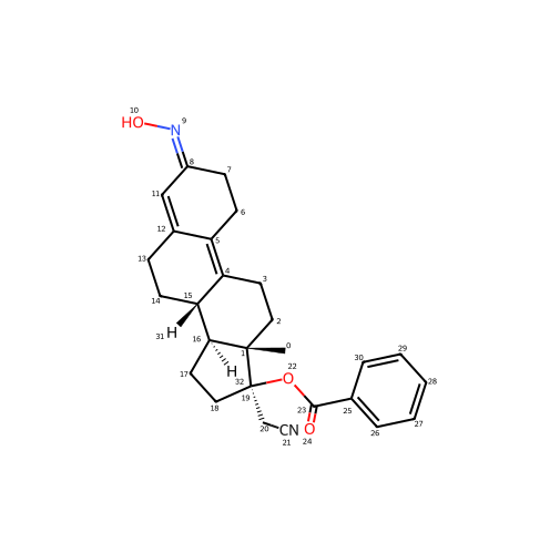 C[C@]12CCC3=C4CC/C(=N/O)C=C4CC[C@H]3[C@@H]1CC[C@]2(CC#N)OC(=O)c1ccccc1